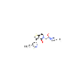 Cc1cc(-c2csc3ccn(CC(=O)N4CC(C)(F)C4)c(=O)c23)cnc1F